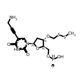 CSSCO[C@H]1C[C@H](n2cc(C#CCN)c(=O)[nH]c2=O)O[C@@H]1CO[PH](=O)O